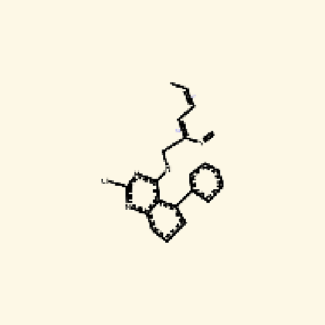 C=N/C(=C\C=C/C)CNc1nc(Cl)nc2cccc(-c3ccccc3)c12